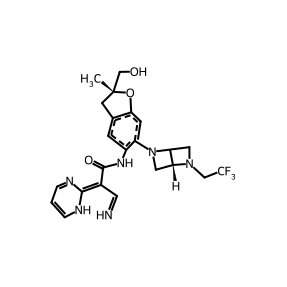 C[C@]1(CO)Cc2cc(NC(=O)/C(C=N)=C3\N=CC=CN3)c(N3C[C@@H]4C3CN4CC(F)(F)F)cc2O1